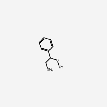 CC(C)OC(CN)c1ccccc1